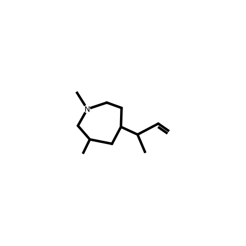 C=CC(C)C1CCN(C)CC(C)C1